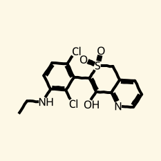 CCNc1ccc(Cl)c(C2=C(O)c3ncccc3CS2(=O)=O)c1Cl